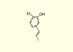 CC=Cc1ccc(CC)c(O)c1